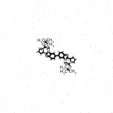 CC(C)(C)OC(=O)N1CCCC1c1nc2ccc(-c3ccc4nc([C@@H]5CCCN5C(=O)OC(C)(C)C)[nH]c4c3)cc2[nH]1